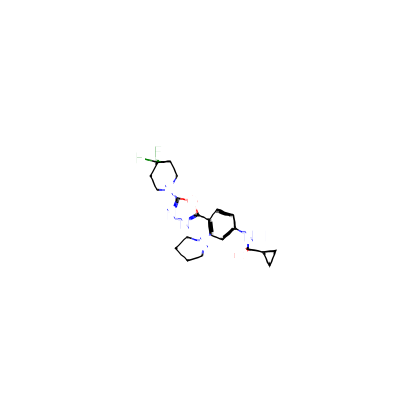 O=C(Nc1ccc(-c2nnc(N3CCC(F)(F)CC3)o2)c(N2CCCC2)c1)C1CC1